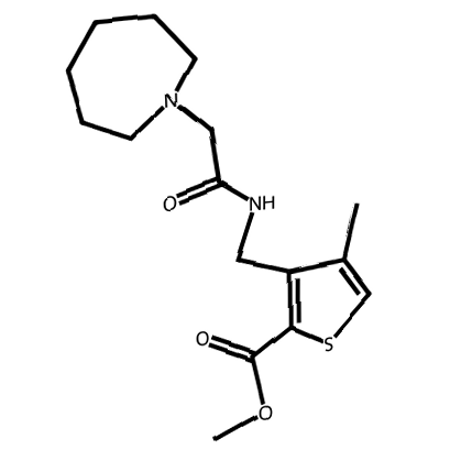 COC(=O)c1scc(C)c1CNC(=O)CN1CCCCCC1